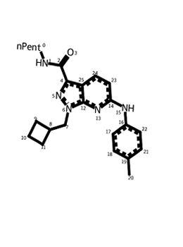 CCCCCNC(=O)c1nn(CC2CCC2)c2nc(Nc3ccc(C)cc3)ccc12